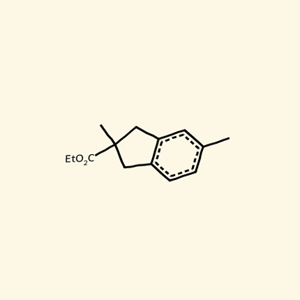 CCOC(=O)C1(C)Cc2ccc(C)cc2C1